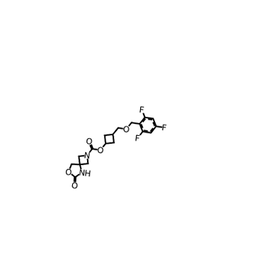 O=C1NC2(CO1)CN(C(=O)OC1CC(COCc3c(F)cc(F)cc3F)C1)C2